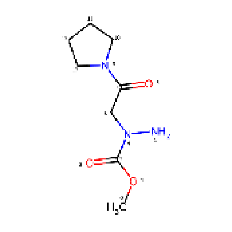 COC(=O)N(N)CC(=O)N1CCCC1